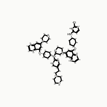 CCc1nccc(N[C@H]2CC[C@@H](Oc3cc(N4CCOC(N(c5ncc(CCN6CCOCC6)cn5)[C@H]5CC[C@@H](Oc6cc(N7CCOCC7)cc7nccnc67)CC5)C4)cc4nccnc34)CC2)n1